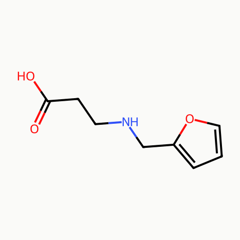 O=C(O)CCNCc1ccco1